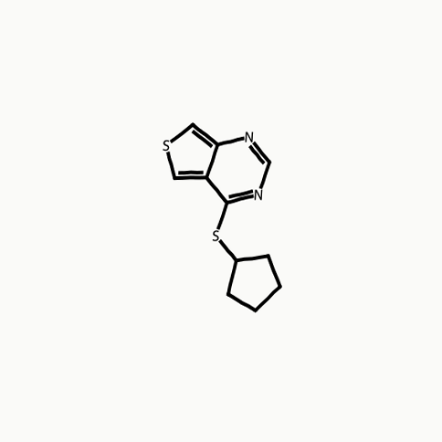 c1nc(SC2CCCC2)c2cscc2n1